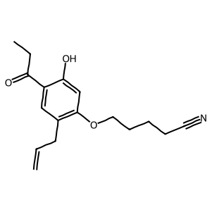 C=CCc1cc(C(=O)CC)c(O)cc1OCCCCC#N